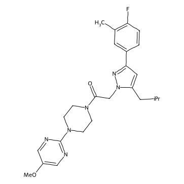 COc1cnc(N2CCN(C(=O)Cn3nc(-c4ccc(F)c(C)c4)cc3CC(C)C)CC2)nc1